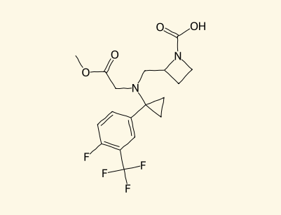 COC(=O)CN(CC1CCN1C(=O)O)C1(c2ccc(F)c(C(F)(F)F)c2)CC1